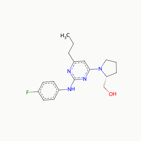 CCCc1cc(N2CCC[C@@H]2CO)nc(Nc2ccc(F)cc2)n1